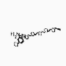 C#CCOCCOCCOCCOCCONc1ccc(Cl)cc1N